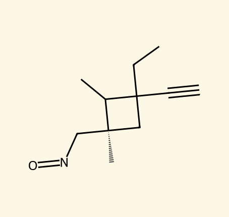 C#CC1(CC)C[C@@](C)(CN=O)C1C